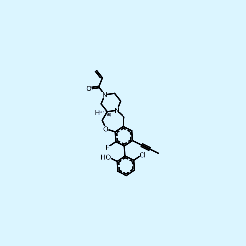 C=CC(=O)N1CCN2Cc3cc(C#CC)c(-c4c(O)cccc4Cl)c(F)c3OC[C@H]2C1